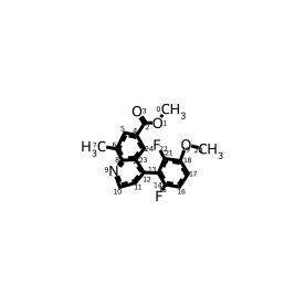 COC(=O)c1cc(C)c2nccc(-c3c(F)ccc(OC)c3F)c2c1